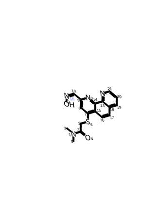 CN(C)C(=O)CSc1cc(/C=N\O)nc2c1ccc1cccnc12